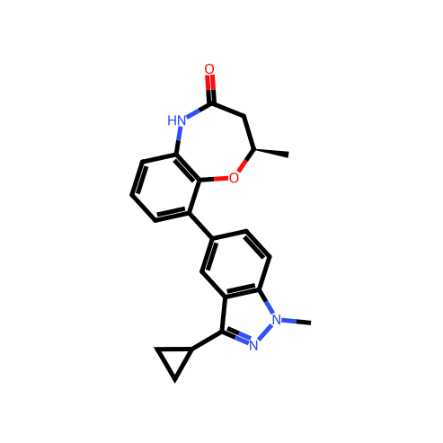 C[C@@H]1CC(=O)Nc2cccc(-c3ccc4c(c3)c(C3CC3)nn4C)c2O1